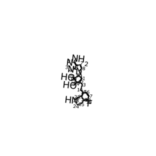 Nc1ncnc2c1ccn2[C@@H]1C=C(CCc2ccc(F)c3c2CNCC3)[C@@H](O)[C@H]1O